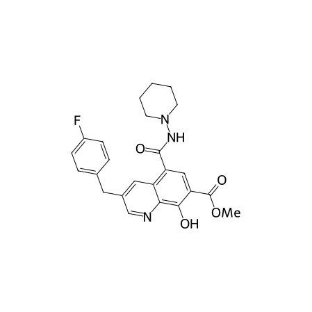 COC(=O)c1cc(C(=O)NN2CCCCC2)c2cc(Cc3ccc(F)cc3)cnc2c1O